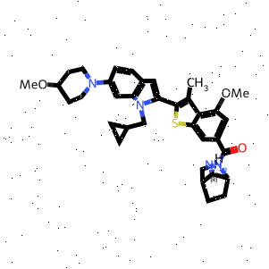 COc1cc(C(=O)N2CC3CCC2[C@@H]3N)cc2sc(-c3cc4ccc(N5CCC(OC)CC5)cc4n3CC3CC3)c(C)c12